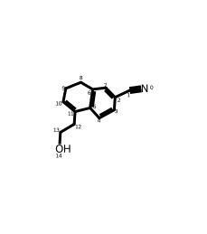 N#Cc1ccc2c(c1)CCC=C2CCO